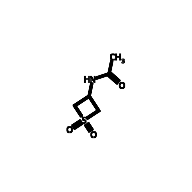 CC(=O)NC1CS(=O)(=O)C1